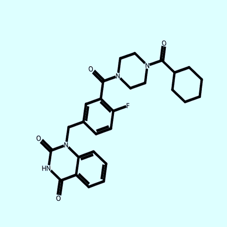 O=C(c1cc(Cn2c(=O)[nH]c(=O)c3ccccc32)ccc1F)N1CCN(C(=O)C2CCCCC2)CC1